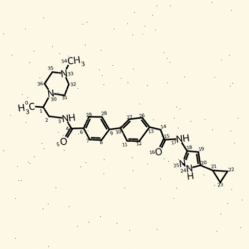 CC(CNC(=O)c1ccc(-c2ccc(CC(=O)Nc3cc(C4CC4)[nH]n3)cc2)cc1)N1CCN(C)CC1